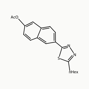 CCCCCCc1nnc(-c2ccc3cc(OC(C)=O)ccc3c2)s1